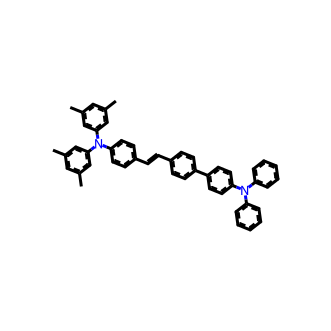 Cc1cc(C)cc(N(c2ccc(/C=C/c3ccc(-c4ccc(N(c5ccccc5)c5ccccc5)cc4)cc3)cc2)c2cc(C)cc(C)c2)c1